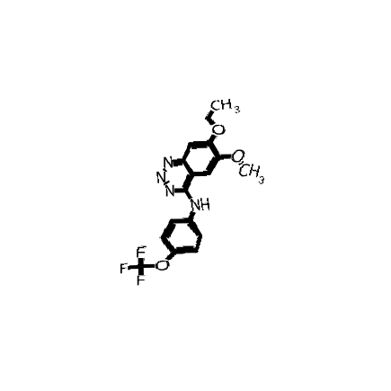 CCOc1cc2nnnc(Nc3ccc(OC(F)(F)F)cc3)c2cc1OC